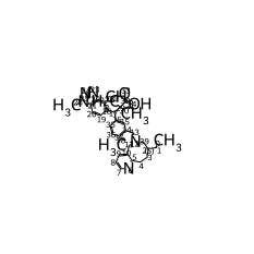 CC[C@H]1CCc2ncccc2CN(Cc2cc(C(c3ccc4c(nnn4C)c3C)C(C)(C)C(=O)O)ccc2C)C1